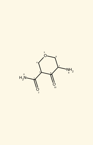 NC(=O)C1COCC(N)C1=O